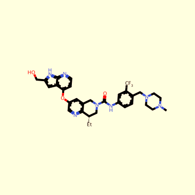 CC[C@H]1CN(C(=O)Nc2ccc(CN3CCN(C)CC3)c(C(F)(F)F)c2)Cc2cc(Oc3ccnc4[nH]c(CO)cc34)cnc21